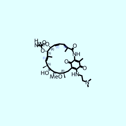 CO[C@H]1C[C@H](C)CC2=C(NCCN(C)C)C(=O)C(C)=C(NC(=O)/C(C)=C/C=C\[C@@H](OC)[C@@H](OC(N)=O)/C(C)=C/[C@H](C)[C@H]1O)C2=O